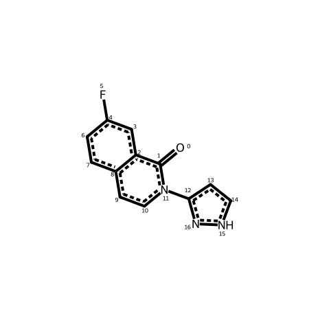 O=c1c2cc(F)ccc2ccn1-c1cc[nH]n1